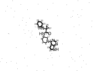 O=C(NC1CCCN(c2ncnc3[nH]ccc23)C1)C1(Nc2ccccc2)CC1